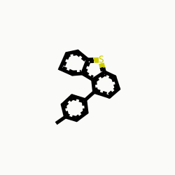 Cc1ccc(-c2cccc3sc4ccccc4c23)cc1